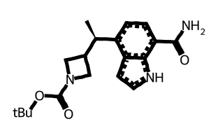 C[C@@H](c1ccc(C(N)=O)c2[nH]ccc12)C1CN(C(=O)OC(C)(C)C)C1